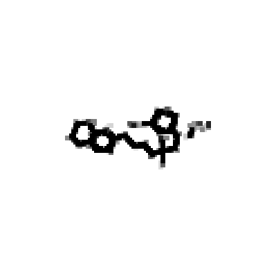 COc1cncc([C@H](CC(=O)O)CC(F)(F)CCCCc2ccc3c(n2)NCCC3)c1